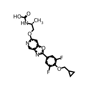 C[C@@H](COc1cc2oc(-c3cc(F)c(OCC4CC4)c(F)c3)nc2cn1)NC(=O)O